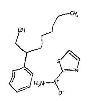 CCCCCC(CO)c1ccccc1.N[S+]([O-])c1nccs1